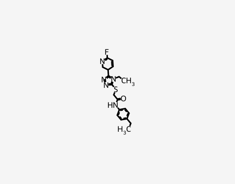 CCc1ccc(NC(=O)CSc2nnc(C3C=CC(F)=NC3)n2CC)cc1